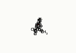 COc1ccc2c(c1)c(C(=O)c1cnc(-c3ccncn3)o1)c(C(F)(F)F)n2Cc1ccc(Cl)cc1Cl